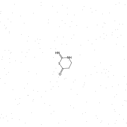 N=C1NCCC(=O)S1